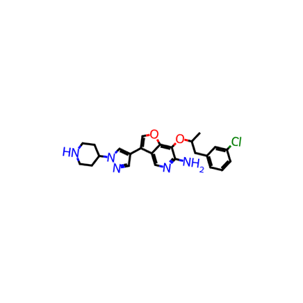 CC(Cc1cccc(Cl)c1)Oc1c(N)ncc2c(-c3cnn(C4CCNCC4)c3)coc12